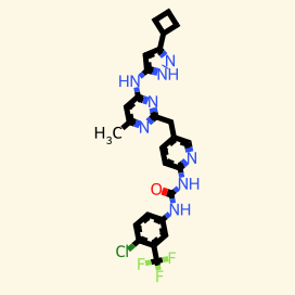 Cc1cc(Nc2cc(C3CCC3)n[nH]2)nc(Cc2ccc(NC(=O)Nc3ccc(Cl)c(C(F)(F)F)c3)nc2)n1